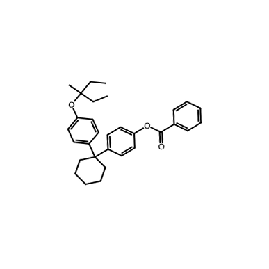 CCC(C)(CC)Oc1ccc(C2(c3ccc(OC(=O)c4ccccc4)cc3)CCCCC2)cc1